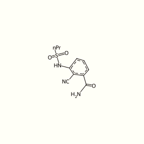 CCCS(=O)(=O)Nc1cccc(C(N)=O)c1C#N